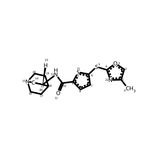 Cc1coc(Sc2ccc(C(=O)N[C@H]3CN4CCC3CC4)s2)n1